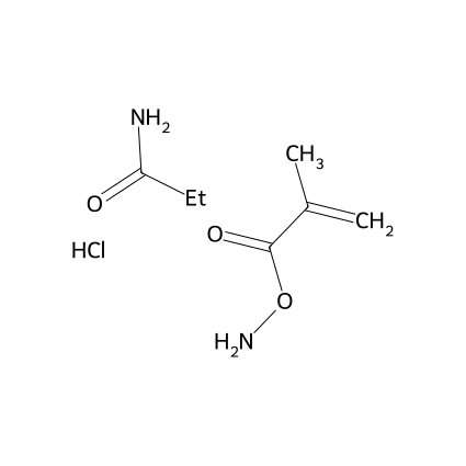 C=C(C)C(=O)ON.CCC(N)=O.Cl